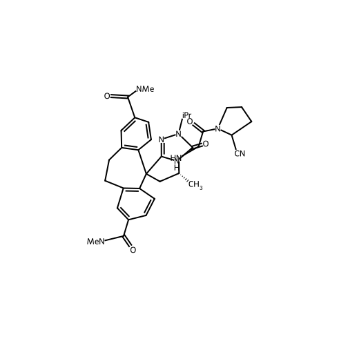 CNC(=O)c1ccc2c(c1)CCc1cc(C(=O)NC)ccc1C2(C[C@@H](C)NCC(=O)N1CCCC1C#N)c1nn(C(C)C)c(=O)[nH]1